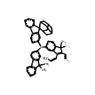 C=CC1=C(/C=C\C)c2cc(N(c3ccc4c(c3)C(C)(C)c3ccccc3-4)c3ccc4c(c3)C3(c5ccccc5-4)C4CC5CC(C4)CC3C5)ccc2C1(C)C